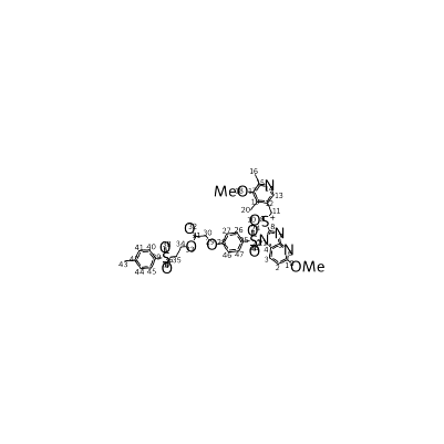 COc1ccc2c(n1)nc([S+]([O-])Cc1cnc(C)c(OC)c1C)n2S(=O)(=O)c1ccc(OCC(=O)OCCS(=O)(=O)c2ccc(C)cc2)cc1